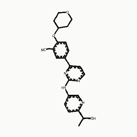 CC(O)c1ccc(Nc2nccc(-c3ccc(OC4CCOCC4)c(C#N)c3)n2)cn1